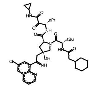 CCC[C@H](NC(=O)[C@@H]1C[C@](O)(CC(=N)c2cc(Cl)cc3cccnc23)CN1C(=O)[C@@H](NC(=O)CC1CCCCC1)C(C)(C)C)C(=O)C(=O)NC1CC1